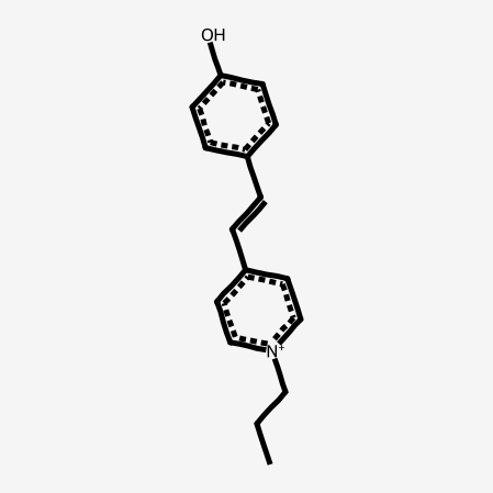 CCC[n+]1ccc(/C=C/c2ccc(O)cc2)cc1